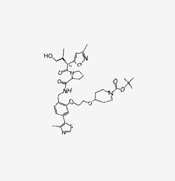 Cc1cc([C@@H](C(=O)N2CCCC2C(=O)NCc2ccc(-c3scnc3C)cc2OCCOC2CCN(C(=O)OC(C)(C)C)CC2)C(C)CO)on1